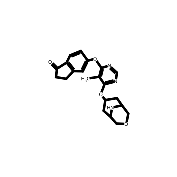 Cc1c(Oc2ccc3c(c2)CCC3=O)ncnc1OC1CC2COCC(C1)N2